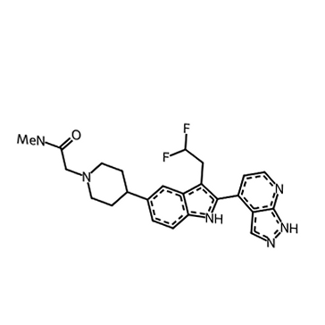 CNC(=O)CN1CCC(c2ccc3[nH]c(-c4ccnc5[nH]ncc45)c(CC(F)F)c3c2)CC1